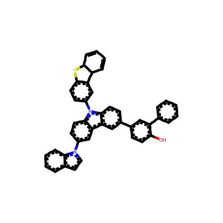 Oc1ccc(-c2ccc3c(c2)c2cc(-n4ccc5ccccc54)ccc2n3-c2ccc3c(c2)C2C=CC=CC2S3)cc1-c1ccccc1